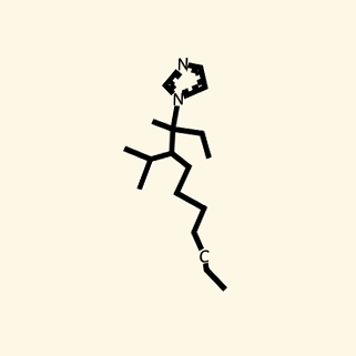 CCCCCCCC(C(C)C)C(C)(CC)n1ccnc1